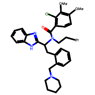 COc1ccc(C(=O)N(CCC(C)C)C(Cc2ccccc2CN2CCCCC2)c2nc3ccccc3[nH]2)c(Cl)c1OC